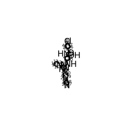 O=C(Nc1ccc(Nc2nc(N3CCCCC3)nc(N3CCN(c4ccncc4)CC3)n2)cc1O)c1ccc(Cl)cc1